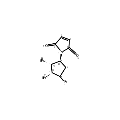 CC(C)C1C[C@H](N2C(=O)C=CC2=O)[C@@H](C(C)C)[C@H]1C(C)C